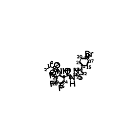 CC(C)S(=O)(=O)Nc1c(C(=O)Nc2nc(-c3ccc(Br)cc3)cs2)cc(F)c(F)c1F